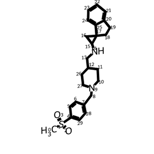 CS(=O)(=O)c1ccc(CN2CCC(CNC3CC34CCc3ccccc34)CC2)cc1